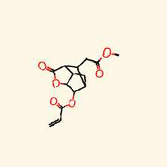 C=CC(=O)OC1C2CC3C1OC(=O)C3C2CC(=O)OC